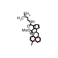 COC(=O)C1=C(C(=O)NCCN(C)C)C2C=CC1(C(Cc1ccccc1)Nc1ccc(F)cc1F)O2